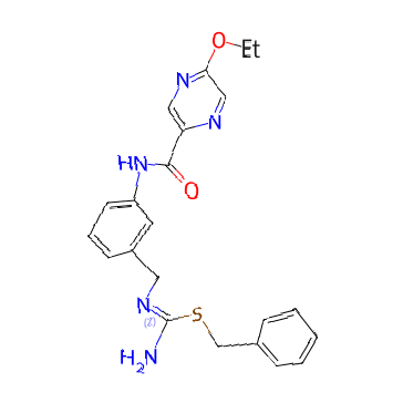 CCOc1cnc(C(=O)Nc2cccc(C/N=C(/N)SCc3ccccc3)c2)cn1